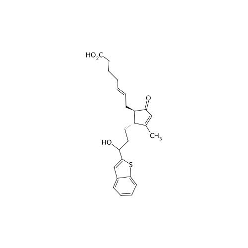 CC1=CC(=O)[C@H](CC=CCCCC(=O)O)[C@H]1CCC(O)c1cc2ccccc2s1